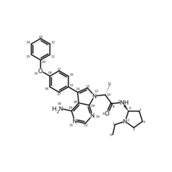 CCN1CCC[C@@H]1NC(=O)[C@@H](C)n1cc(-c2ccc(Oc3ccccc3)cc2)c2c(N)ncnc21